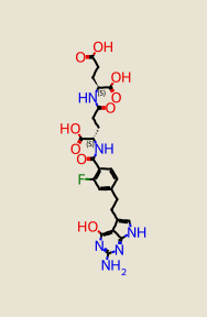 Nc1nc(O)c2c(CCc3ccc(C(=O)N[C@@H](CCC(=O)N[C@@H](CCC(=O)O)C(=O)O)C(=O)O)c(F)c3)c[nH]c2n1